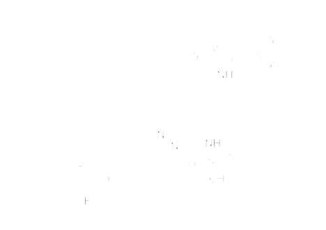 CC1(NC(=O)c2ccc3c(c2)c(NS(C)(=O)=O)nn3-c2cccc(OC(F)F)c2)CS(=O)(=O)C1